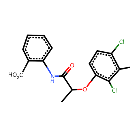 Cc1c(Cl)ccc(OC(C)C(=O)Nc2ccccc2C(=O)O)c1Cl